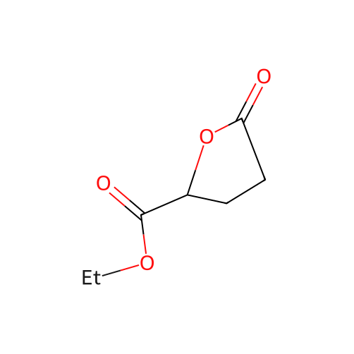 CCOC(=O)C1CCC(=O)O1